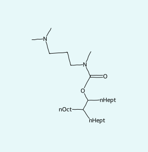 CCCCCCCCC(CCCCCCC)C(CCCCCCC)OC(=O)N(C)CCCN(C)C